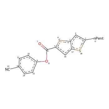 CCCCCc1cc2sc(C(=O)Oc3ccc(C#N)cc3)cc2s1